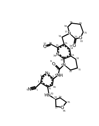 N#Cc1cnc(NC(=O)N2CCCc3cc(CN4CCCCOC4=O)c(C=O)nc32)cc1N[C@H]1CCOC1